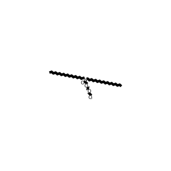 CCCCCCCCCCCCCCCCCCN(CCCCCCCCCCCCCCCCCC)C(=O)COCCOCCOC